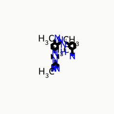 Cc1c(C#N)cccc1[C@@H](C)Nc1nnc(C)c2ccc(N3CCN(c4cnn(C)c4)CC3)cc12